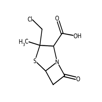 CC1(CCl)SC2CC(=O)N2C1C(=O)O